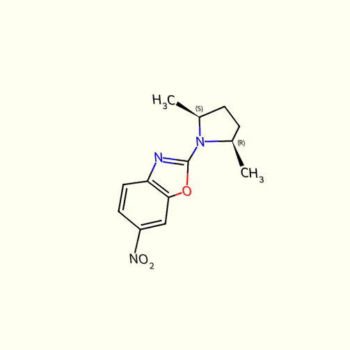 C[C@@H]1CC[C@H](C)N1c1nc2ccc([N+](=O)[O-])cc2o1